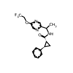 CC(NC(=O)[C@@H]1C[C@H]1c1ccccc1)c1cnc(OCC(F)(F)F)cn1